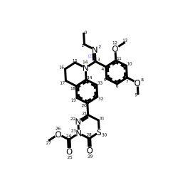 CC/N=C(/c1ccc(OC)cc1OC)N1CCCc2cc(C3=NN(C(=O)OC)C(=O)SC3)ccc21